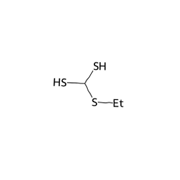 CCSC(S)S